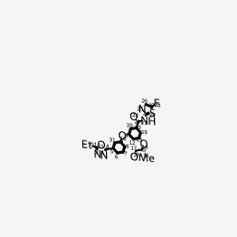 CCc1nnc(-c2cccc(Oc3cc(O[C@H](C)COC)cc(C(=O)Nc4ncc(F)s4)c3)c2)o1